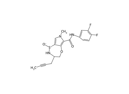 CC#CCC1COc2c(cn(C)c2C(=O)Nc2ccc(F)c(F)c2)[S+]([O-])N1